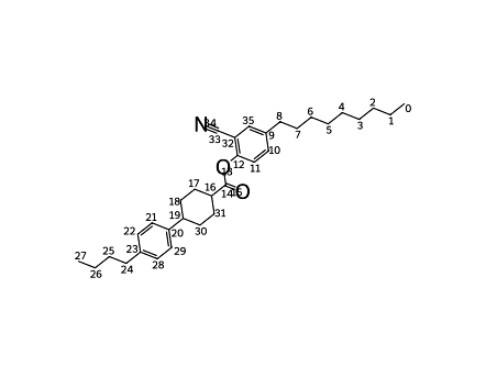 CCCCCCCCCc1ccc(OC(=O)C2CCC(c3ccc(CCCC)cc3)CC2)c(C#N)c1